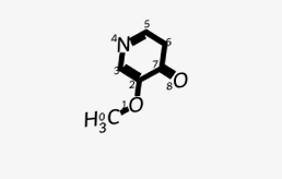 COC1=CN=CCC1=O